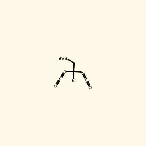 CCCCCCC(CC)(N=C=O)N=C=O